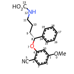 COc1ccc(C#N)c(O[C@H](CCCNC(=O)O)c2ccccc2)c1